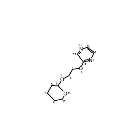 [c]1cnc(OCCOC2CCCCO2)cn1